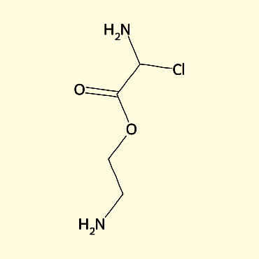 NCCOC(=O)C(N)Cl